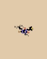 CC(C)=CCn1c(Br)nc2c1c(=O)n(CCc1ccsc1)c(=O)n2C